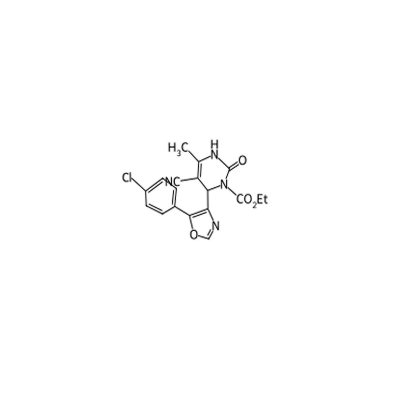 CCOC(=O)N1C(=O)NC(C)=C(C#N)C1c1ncoc1-c1ccc(Cl)cc1